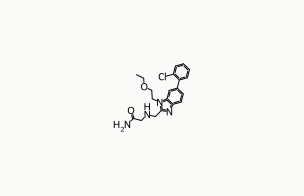 CCOCCn1c(CNCC(N)=O)nc2ccc(-c3ccccc3Cl)cc21